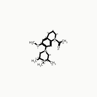 COc1cc2c(cc1N1CC(C)N(C)C(C)C1)N(C(C)=O)CCC2